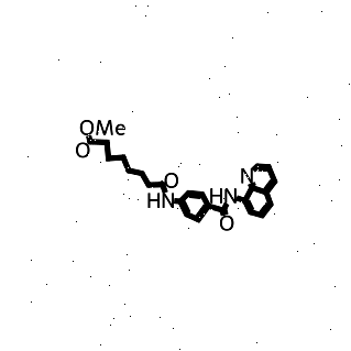 COC(=O)CCCCCCC(=O)Nc1ccc(C(=O)Nc2cccc3cccnc23)cc1